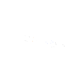 CC(C)(C1CCN(c2ccc(C#N)cn2)CC1)S(=O)(=O)c1cccc(C(F)(F)F)c1